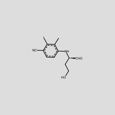 Cc1c(N[C@@H](C=O)CCO)ccc(C#N)c1I